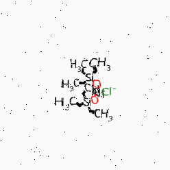 CC[Si](CC)(CC)[O][Al+][O][Si](CC)(CC)CC.[Cl-]